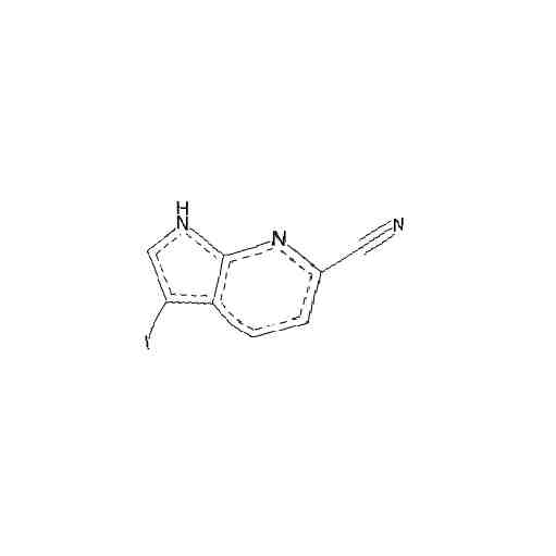 N#Cc1ccc2c(I)c[nH]c2n1